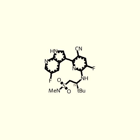 CNS(=O)(=O)C[C@@H](Nc1nc(-c2c[nH]c3ncc(F)cc23)c(C#N)cc1F)C(C)(C)C